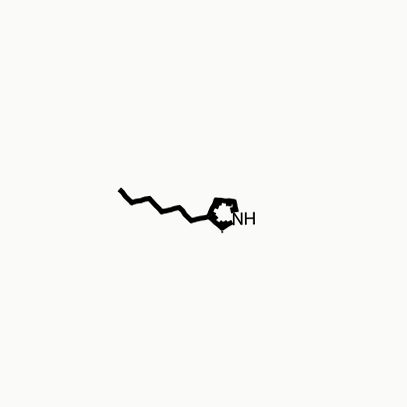 CCCCCCc1[c][nH]cc1